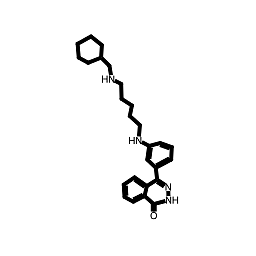 O=c1[nH]nc(-c2cccc(NCCCCCNCC3CCCCC3)c2)c2ccccc12